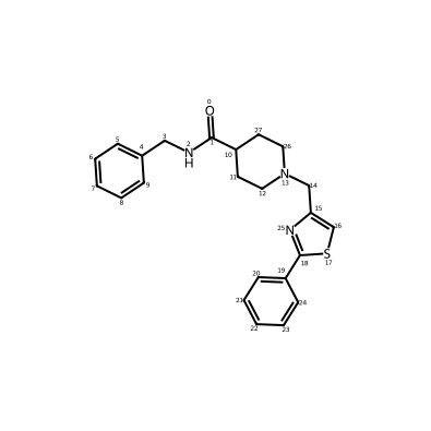 O=C(NCc1ccccc1)C1CCN(Cc2csc(-c3ccccc3)n2)CC1